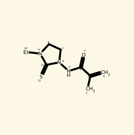 C=C(C)C(=O)NN1CCN(CC)C1=S